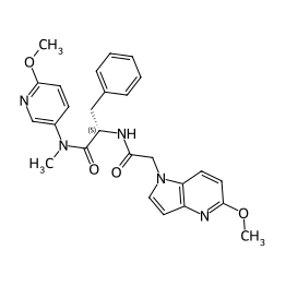 COc1ccc(N(C)C(=O)[C@H](Cc2ccccc2)NC(=O)Cn2ccc3nc(OC)ccc32)cn1